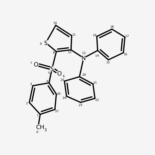 Cc1ccc(S(=O)(=O)c2sccc2N(c2ccccc2)c2ccccc2)cc1